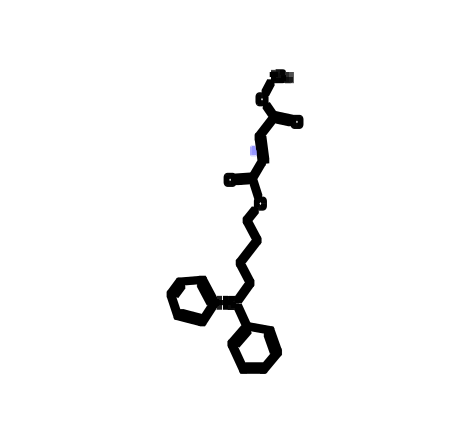 CC(C)(C)OC(=O)/C=C/C(=O)OCCCC[SiH](c1ccccc1)c1ccccc1